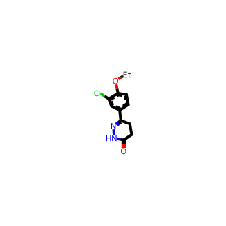 CCOc1ccc(C2=NNC(=O)CC2)cc1Cl